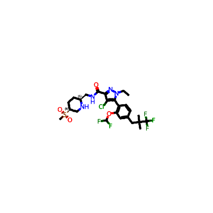 CCn1nc(C(=O)NC[C@@H]2CC[C@@H](S(C)(=O)=O)CN2)c(Cl)c1-c1ccc(CC(C)(C)C(F)(F)F)cc1OC(F)F